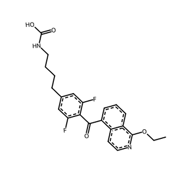 CCOc1nccc2c(C(=O)c3c(F)cc(CCCCNC(=O)O)cc3F)cccc12